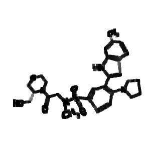 Cc1ccc2cc(-c3cc(S(=O)(=O)N(C)CC(=O)N4CCOC[C@H]4CO)ccc3N3CCCC3)[nH]c2c1